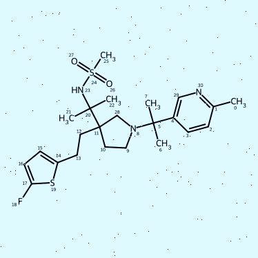 Cc1ccc(C(C)(C)N2CCC(CCc3ccc(F)s3)(C(C)(C)NS(C)(=O)=O)C2)cn1